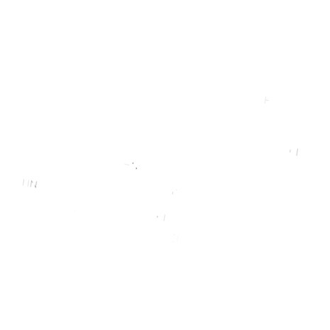 Cc1ccc2c(c1NC(=O)Cc1ccc(C(F)(F)F)c(F)c1)CCNC2.Cl